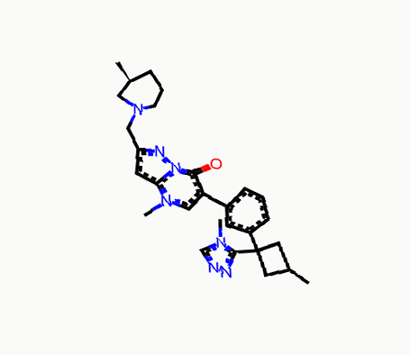 CC1CC(c2cccc(-c3cn(C)c4cc(CN5CCC[C@H](C)C5)nn4c3=O)c2)(c2nncn2C)C1